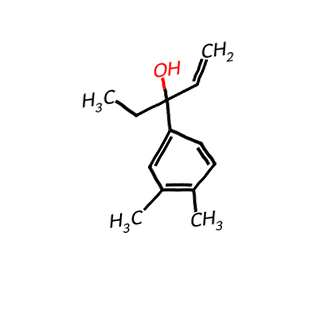 C=CC(O)(CC)c1ccc(C)c(C)c1